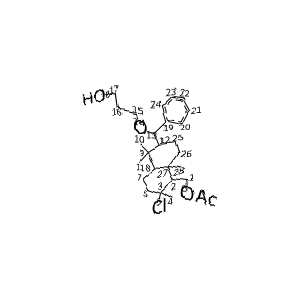 CC(=O)OCC1C(C)(Cl)CCC2C(C)(C)C(C(OCCCO)c3ccccc3)CCC12C